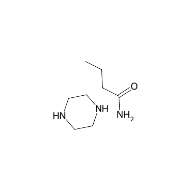 C1CNCCN1.CCCC(N)=O